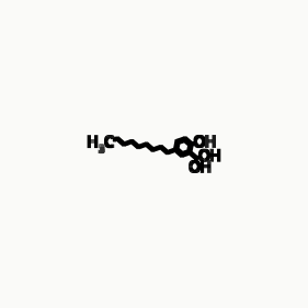 CCCCCCCCCc1ccc(O)c(C(O)O)c1